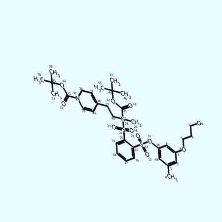 Cc1cc(OCCC[O])cc(OS(=O)(=O)c2ccccc2S(=O)(=O)[N+](C)(CCC2=CCN(C(=O)OC(C)(C)C)C=C2)C(=O)OC(C)(C)C)c1